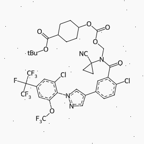 CC(C)(C)OC(=O)C1CCC(OC(=O)OCN(C(=O)c2cc(-c3cnn(-c4c(Cl)cc(C(F)(C(F)(F)F)C(F)(F)F)cc4OC(F)(F)F)c3)ccc2Cl)C2(C#N)CC2)CC1